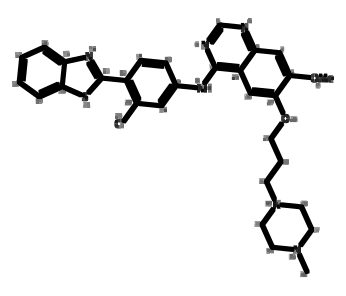 COc1cc2ncnc(Nc3ccc(-c4nc5ccccc5s4)c(Cl)c3)c2cc1OCCCN1CCN(C)CC1